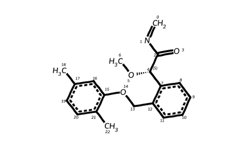 C=NC(=O)[C@@H](OC)c1ccccc1COc1cc(C)ccc1C